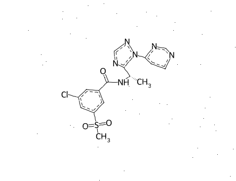 C[C@H](NC(=O)c1cc(Cl)cc(S(C)(=O)=O)c1)c1ncnn1-c1ccncn1